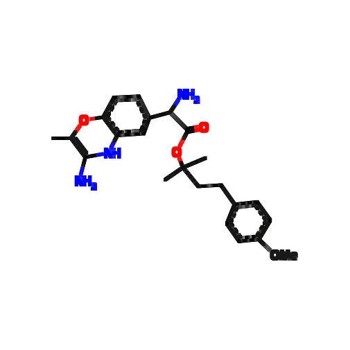 COc1ccc(CCC(C)(C)OC(=O)C(N)c2ccc3c(c2)NC(N)=C(C)O3)cc1